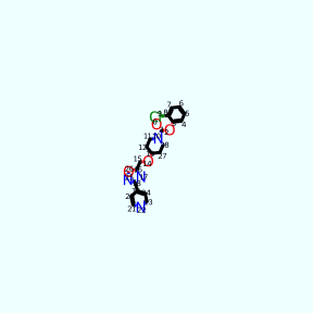 O=C(Oc1ccccc1Cl)N1CCC(OCc2nc(-c3ccncc3)no2)CC1